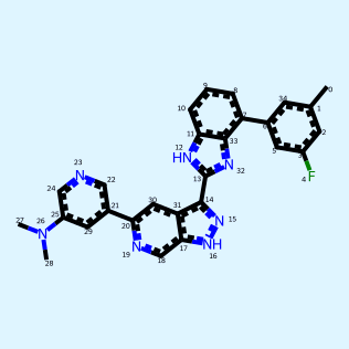 Cc1cc(F)cc(-c2cccc3[nH]c(-c4n[nH]c5cnc(-c6cncc(N(C)C)c6)cc45)nc23)c1